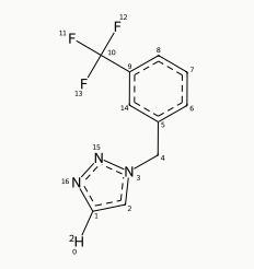 [2H]c1cn(Cc2cccc(C(F)(F)F)c2)nn1